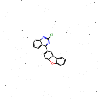 Clc1nc(-c2ccc3oc4ccccc4c3c2)c2ccccc2n1